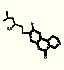 CC(C)CC(N)COc1cc2oc(=O)c3cnccc3c2cc1Br